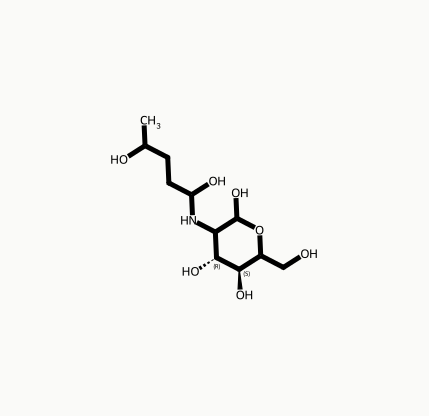 CC(O)CCC(O)NC1C(O)OC(CO)[C@@H](O)[C@@H]1O